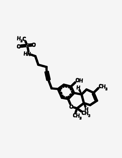 CC1=CC[C@H]2[C@@H](C1)c1c(O)cc(CC#CCCCNS(C)(=O)=O)cc1OC2(C)C